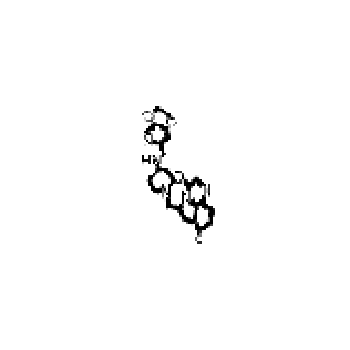 O=c1cnc2ccc(F)c3c2n1C(CN1CCC(NCc2cc4c(cn2)OCCO4)CC1)C3